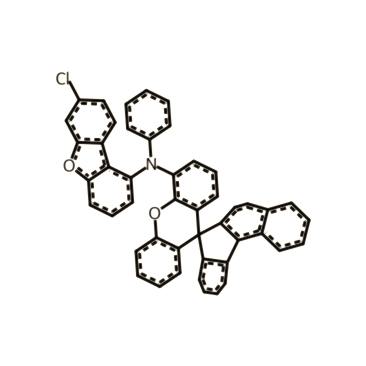 Clc1ccc2c(c1)oc1cccc(N(c3ccccc3)c3cccc4c3Oc3ccccc3C43c4ccccc4-c4c3ccc3ccccc43)c12